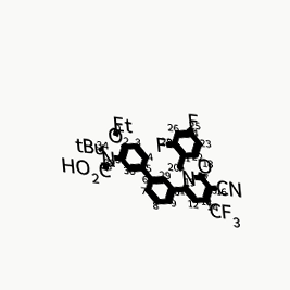 CCOc1ccc(-c2cccc(-c3cc(C(F)(F)F)c(C#N)c(=O)n3Cc3ccc(F)cc3F)c2)cc1N(C(=O)O)C(C)(C)C